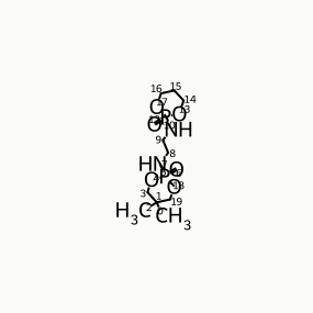 CC1(C)COP(=O)(NCCNP2(=O)OCCCO2)OC1